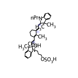 CCCN1/C(=C/C=C2\CCCC(/C=C/C3(O)N(CCCOS(=O)(=O)O)c4ccccc4C3(C)C)=C2C)C(C)(C)c2ccccc21